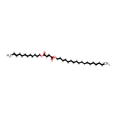 CCCCCCCCCCCCCCCCCCOC(=O)C=CC(=O)OCCCCCCCCCCCC